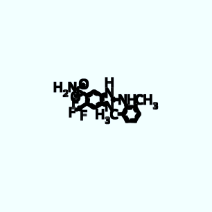 Cc1cccc(C)c1Nc1nc2cc(C(F)(F)F)c(S(N)(=O)=O)cc2[nH]1